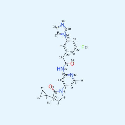 Cc1cc(N2CC[C@@](C)(C3CC3)C2=O)cc(NC(=O)Cc2cc(F)cc(-n3ccnc3)c2)n1